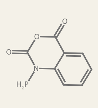 O=c1oc(=O)n(P)c2ccccc12